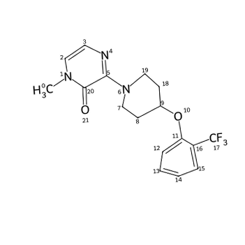 Cn1ccnc(N2CCC(Oc3ccccc3C(F)(F)F)CC2)c1=O